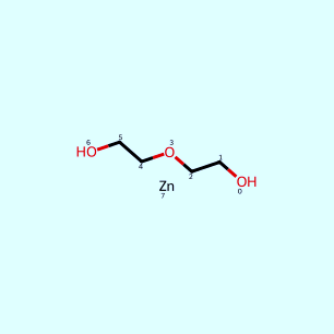 OCCOCCO.[Zn]